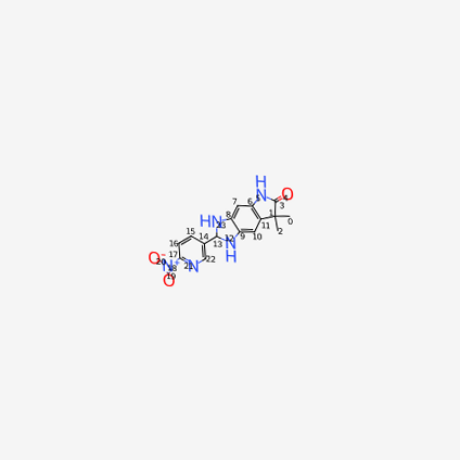 CC1(C)C(=O)Nc2cc3c(cc21)NC(c1ccc([N+](=O)[O-])nc1)N3